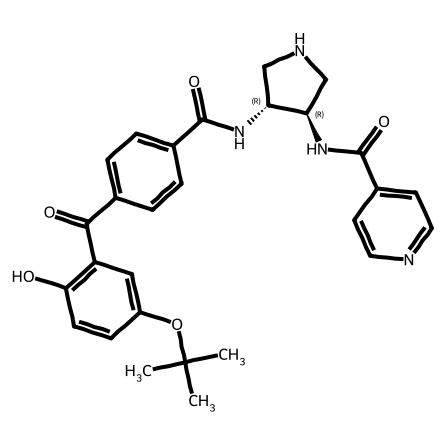 CC(C)(C)Oc1ccc(O)c(C(=O)c2ccc(C(=O)N[C@@H]3CNC[C@H]3NC(=O)c3ccncc3)cc2)c1